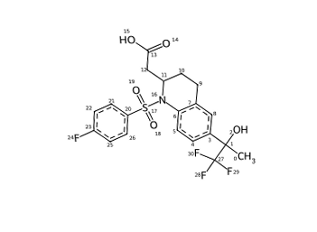 CC(O)(c1ccc2c(c1)CCC(CC(=O)O)N2S(=O)(=O)c1ccc(F)cc1)C(F)(F)F